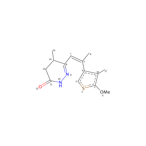 COc1scc(C(C)=CC2=NNC(=O)CC2C)c1C